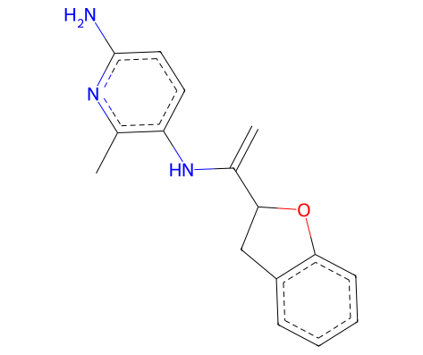 C=C(Nc1ccc(N)nc1C)C1Cc2ccccc2O1